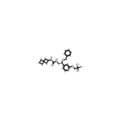 O=C(NC[C@@H](OCc1ccccc1)c1ccnc(OCC(F)(F)F)c1)NC1CC2(CCC2)C1